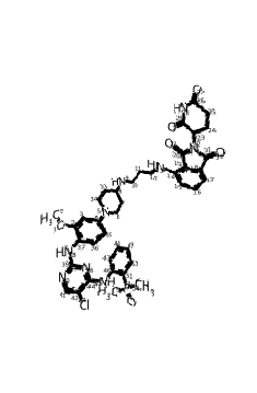 COc1cc(N2CCC(NCCCNc3cccc4c3C(=O)N(C3CCC(=O)NC3=O)C4=O)CC2)ccc1Nc1ncc(Cl)c(Nc2ccccc2P(C)(C)=O)n1